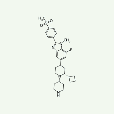 Cn1c(-c2ccc(S(C)(=O)=O)cc2)nc2cc(C3CCN(C4CCNCC4)[C@@H](C4CCC4)C3)cc(F)c21